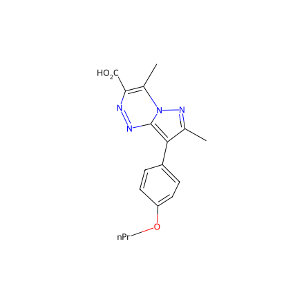 CCCOc1ccc(-c2c(C)nn3c(C)c(C(=O)O)nnc23)cc1